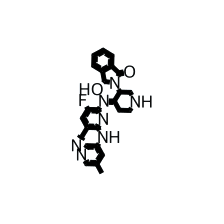 Cc1cncc(Nc2nc(/N=C3\CCNCC3N3C(=O)c4ccccc4C3O)c(F)cc2C#N)c1